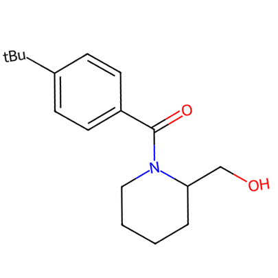 CC(C)(C)c1ccc(C(=O)N2CCCCC2CO)cc1